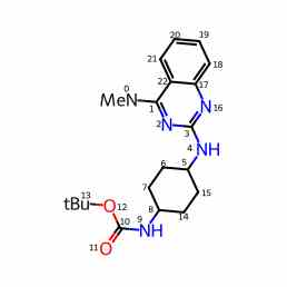 CNc1nc(NC2CCC(NC(=O)OC(C)(C)C)CC2)nc2ccccc12